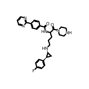 O=C(NC(CCCN[C@@H]1C[C@H]1c1ccc(F)cc1)C(=O)N1CCNCC1)c1ccc(-c2ncccn2)cc1